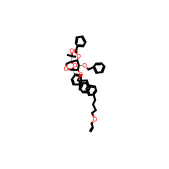 C=CCOCCCCc1ccc(Cc2cc([C@]34OC[C@](C(C)(C)O)(O3)[C@@H](OCc3ccccc3)[C@H](OCc3ccccc3)[C@H]4OCc3ccccc3)ccc2C)cc1